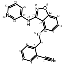 N#Cc1ccccc1COc1cccc2onc(Nc3cccnc3)c12